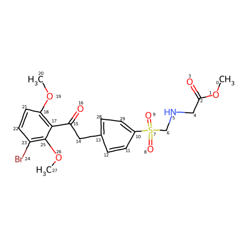 COC(=O)CNCS(=O)(=O)c1ccc(CC(=O)c2c(OC)ccc(Br)c2OC)cc1